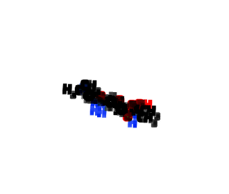 CC(C)[C@H](NS(=O)(=O)c1ccc2c(c1)oc1ccc(NC(=O)Nc3ccc(N(C)C)cc3)cc12)C(=O)O